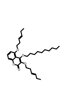 CC/C=C/CCOc1c(OCCCCCCCCCC)c2c(OCC/C=C/CC)cccc2oc1=O